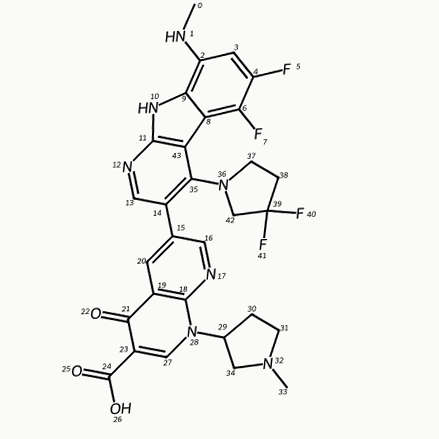 CNc1cc(F)c(F)c2c1[nH]c1ncc(-c3cnc4c(c3)c(=O)c(C(=O)O)cn4C3CCN(C)C3)c(N3CCC(F)(F)C3)c12